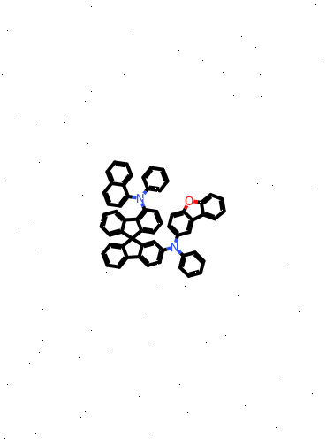 c1ccc(N(c2ccc3c(c2)C2(c4ccccc4-3)c3ccccc3-c3c(N(c4ccccc4)c4cccc5ccccc45)cccc32)c2ccc3oc4ccccc4c3c2)cc1